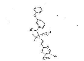 CC1(C)[C@H](C=CC(=O)OC(C#N)=C(Cl)Cl)[C@@]1(C(=O)O)[C@@H](C#N)c1cccc(Oc2ccccc2)c1